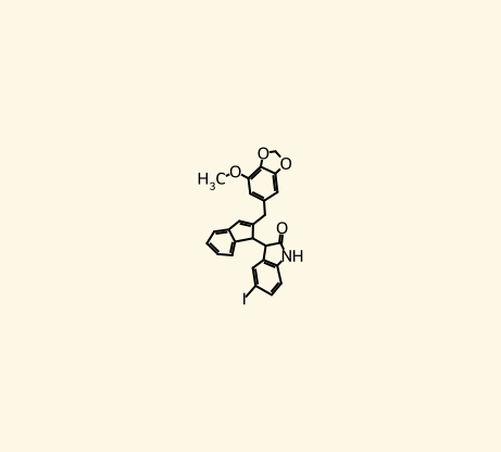 COc1cc(CC2=Cc3ccccc3C2C2C(=O)Nc3ccc(I)cc32)cc2c1OCO2